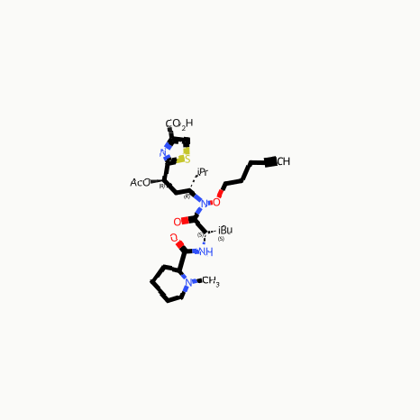 C#CCCCON(C(=O)[C@@H](NC(=O)C1CCCCN1C)[C@@H](C)CC)[C@H](C[C@@H](OC(C)=O)c1nc(C(=O)O)cs1)C(C)C